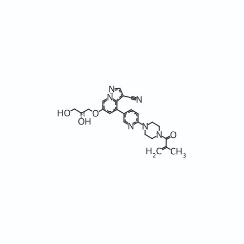 C=C(C)C(=O)N1CCN(c2ccc(-c3cc(OC[C@H](O)CO)cn4ncc(C#N)c34)cn2)CC1